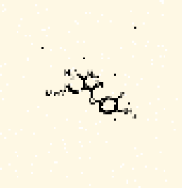 CON=Cc1c(N)ncnc1Oc1ccc(N)c(F)c1